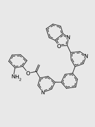 C=C(Oc1ccccc1N)c1cncc(-c2cccc(-c3cncc(-c4nc5ccccc5o4)c3)c2)c1